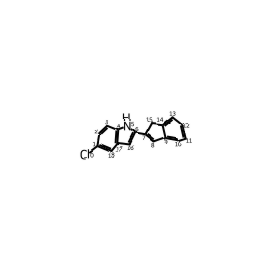 Clc1ccc2[nH]c(C3=Cc4ccccc4C3)cc2c1